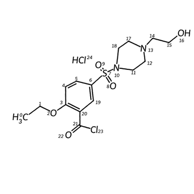 CCOc1ccc(S(=O)(=O)N2CCN(CCO)CC2)cc1C(=O)Cl.Cl